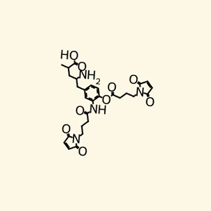 CC(CC(N)Cc1ccc(OC(=O)CCCN2C(=O)C=CC2=O)c(NC(=O)CCCN2C(=O)C=CC2=O)c1)C(=O)O